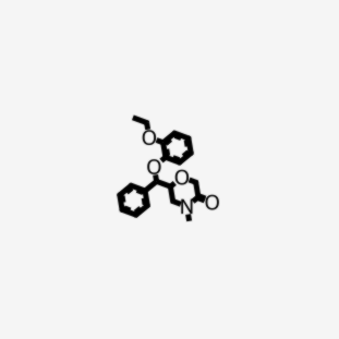 CCOc1ccccc1OC(c1ccccc1)C1CN(C)C(=O)CO1